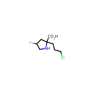 O=C(O)C1(CCCCl)CC(F)CN1